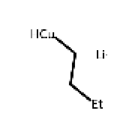 CCC[CH2][CuH].[Li]